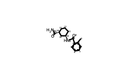 Cc1ccccc1C(=O)N[C@@H]1CCC[C@H](C(N)=O)C1